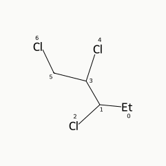 [CH2]CC(Cl)C(Cl)CCl